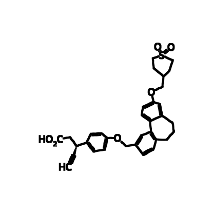 C#C[C@@H](CC(=O)O)c1ccc(OCc2ccc3c(c2)-c2ccc(OCC4CCS(=O)(=O)CC4)cc2CCC3)cc1